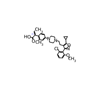 C/C=C(/C(=O)O)c1ccc(N2CCN(CCc3c(-c4c(Cl)cccc4OC)noc3C3CC3)CC2)cc1C